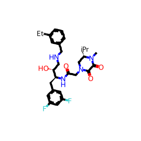 CCc1cccc(CNC[C@@H](O)[C@H](Cc2cc(F)cc(F)c2)NC(=O)CN2C[C@H](C(C)C)N(C)C(=O)C2=O)c1